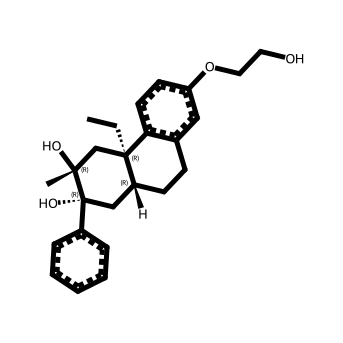 CC[C@@]12C[C@@](C)(O)[C@](O)(c3ccccc3)C[C@H]1CCc1cc(OCCO)ccc12